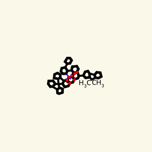 CC1(C)c2ccccc2-c2ccc(-c3ccc(N(c4cccc(-c5ccccc5)c4-c4ccccc4-c4ccccc4)c4cccc5c4-c4ccccc4C54c5ccccc5-c5ccccc54)cc3)cc21